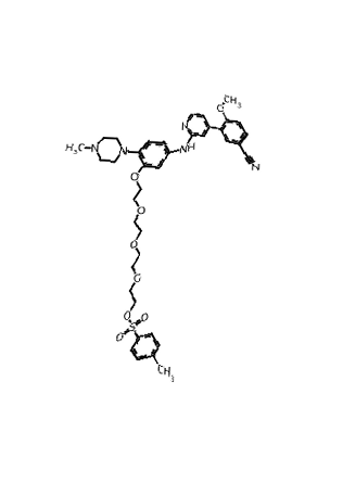 COc1ccc(C#N)cc1-c1ccnc(Nc2ccc(N3CCN(C)CC3)c(OCCOCCOCCOCCOS(=O)(=O)c3ccc(C)cc3)c2)c1